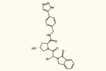 CC(C)C(C(=O)N1C[C@H](O)C[C@H]1C(=O)NCc1ccc(-c2cnn[nH]2)cc1)N1Cc2ccccc2C1=O